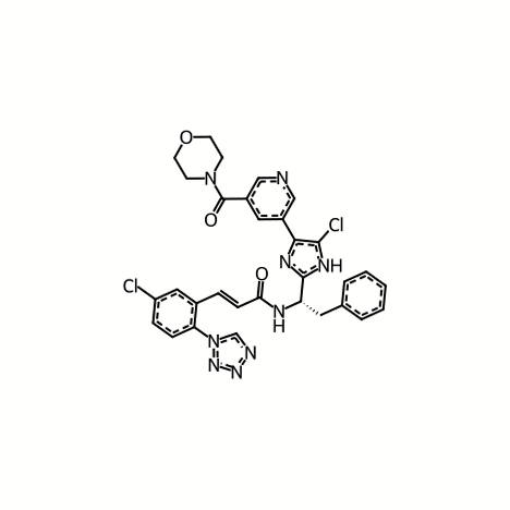 O=C(C=Cc1cc(Cl)ccc1-n1cnnn1)N[C@@H](Cc1ccccc1)c1nc(-c2cncc(C(=O)N3CCOCC3)c2)c(Cl)[nH]1